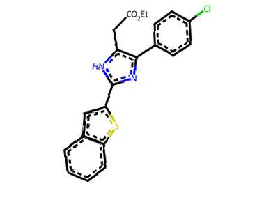 CCOC(=O)Cc1[nH]c(-c2cc3ccccc3s2)nc1-c1ccc(Cl)cc1